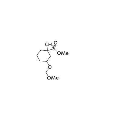 COCOC1CCCC(C)(C(=O)OC)C1